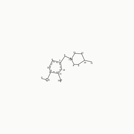 COc1ccc(CN2CCC(C)CC2)cc1F